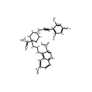 COc1ccc2ncc(N(C)C)c(CCCC3(C(=O)O)CCN(CC#Cc4c(F)cc(F)cc4F)CC3)c2c1